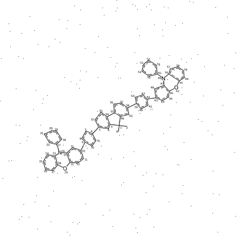 CC1(C)c2cc(-c3ccc(-c4ccc5c(c4)N(c4ccccc4)c4ccccc4O5)cc3)ccc2-c2ccc(-c3ccc(-c4ccc5c(c4)N(c4ccccc4)c4ccccc4O5)cc3)cc21